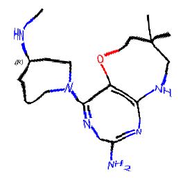 CN[C@@H]1CCN(c2nc(N)nc3c2OCC(C)(C)CN3)C1